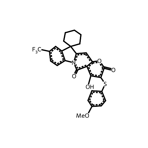 COc1ccc(Sc2c(O)c3c(=O)n4c(cc3oc2=O)C2(CCCCC2)c2cc(C(F)(F)F)ccc2-4)cc1